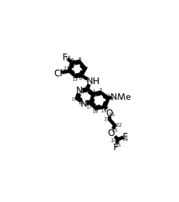 CNc1cc2c(Nc3ccc(F)c(Cl)c3)ncnc2cc1OCCOC(F)F